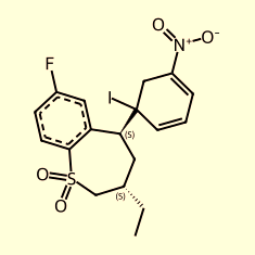 CC[C@H]1C[C@H](C2(I)C=CC=C([N+](=O)[O-])C2)c2cc(F)ccc2S(=O)(=O)C1